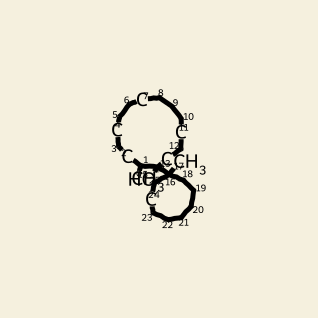 CC1CCCCCCCCCCCCC1(O)C1(C)CCCCCCCC1